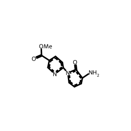 COC(=O)c1ccc(-n2cccc(N)c2=O)nc1